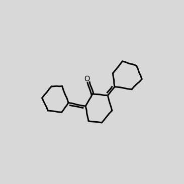 O=C1C(=C2CCCCC2)CCCC1=C1CCCCC1